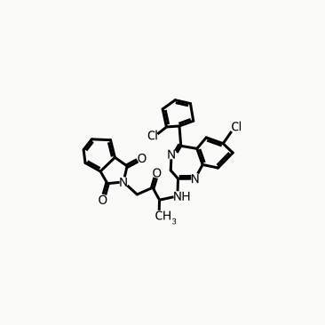 CC(NC1=Nc2ccc(Cl)cc2C(c2ccccc2Cl)=NC1)C(=O)CN1C(=O)c2ccccc2C1=O